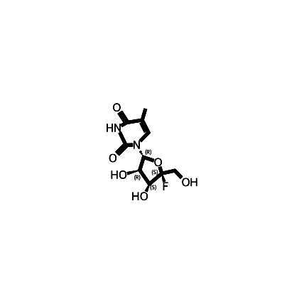 Cc1cn([C@@H]2O[C@](F)(CO)[C@@H](O)[C@H]2O)c(=O)[nH]c1=O